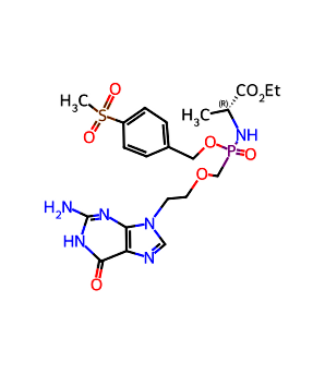 CCOC(=O)[C@@H](C)NP(=O)(COCCn1cnc2c(=O)[nH]c(N)nc21)OCc1ccc(S(C)(=O)=O)cc1